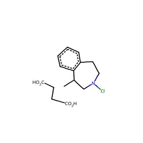 CC1CN(Cl)CCc2ccccc21.O=C(O)CCC(=O)O